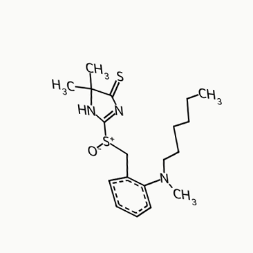 CCCCCCN(C)c1ccccc1C[S+]([O-])C1=NC(=S)C(C)(C)N1